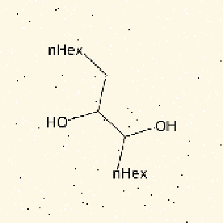 CCCCCCCC(O)C(O)CCCCCC